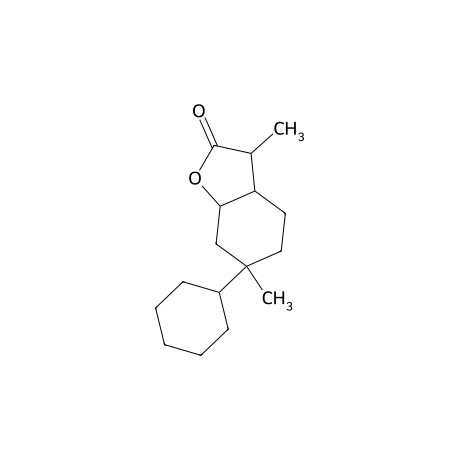 CC1C(=O)OC2CC(C)(C3CCCCC3)CCC21